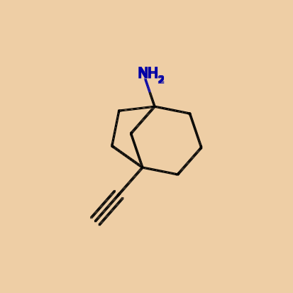 C#CC12CCCC(N)(CC1)C2